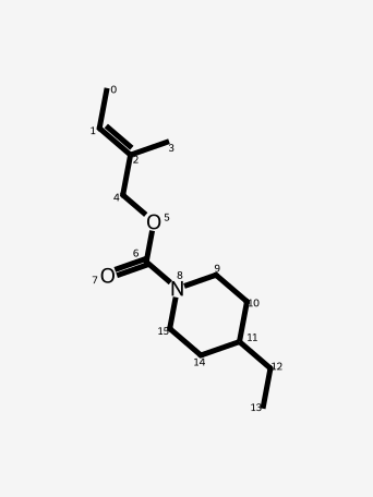 C/C=C(\C)COC(=O)N1CCC(CC)CC1